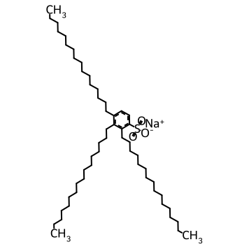 CCCCCCCCCCCCCCCCc1ccc(S(=O)(=O)[O-])c(CCCCCCCCCCCCCCCC)c1CCCCCCCCCCCCCCCC.[Na+]